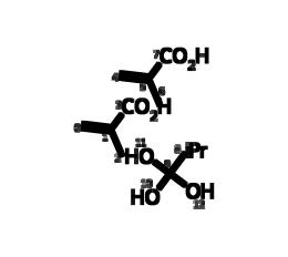 C=C(C)C(=O)O.C=C(C)C(=O)O.CC(C)C(O)(O)O